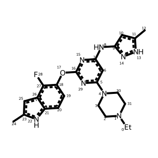 CCN1CCN(c2cc(Nc3cc(C)[nH]n3)nc(Oc3ccc4[nH]c(C)cc4c3F)n2)CC1